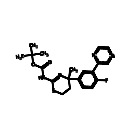 CC(C)(C)OC(=O)NC1=N[C@](C)(c2ccc(F)c(-c3cnccn3)c2)CCS1